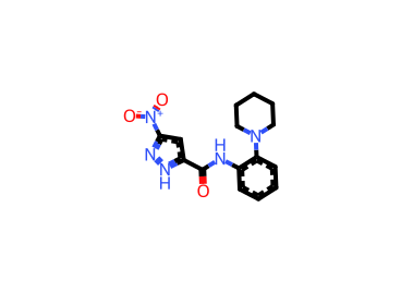 O=C(Nc1ccccc1N1CCCCC1)c1cc([N+](=O)[O-])n[nH]1